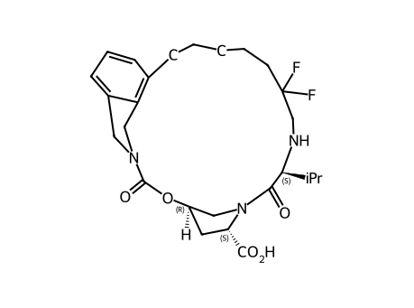 CC(C)[C@@H]1NCC(F)(F)CCCCCc2cccc3c2CN(C3)C(=O)O[C@@H]2C[C@@H](C(=O)O)N(C2)C1=O